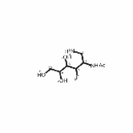 CC(=O)NC(CN)C(F)C(O)C(O)CO